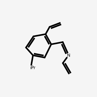 C=C/N=C\c1cc(C(C)C)ccc1C=C